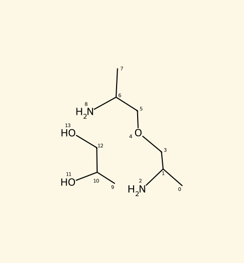 CC(N)COCC(C)N.CC(O)CO